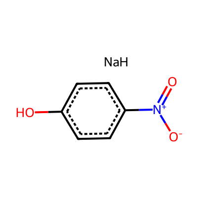 O=[N+]([O-])c1ccc(O)cc1.[NaH]